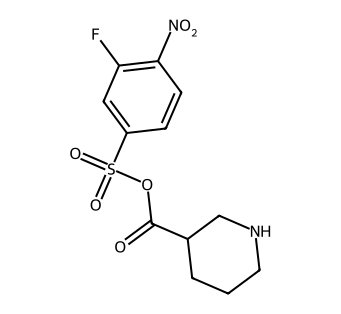 O=C(OS(=O)(=O)c1ccc([N+](=O)[O-])c(F)c1)C1CCCNC1